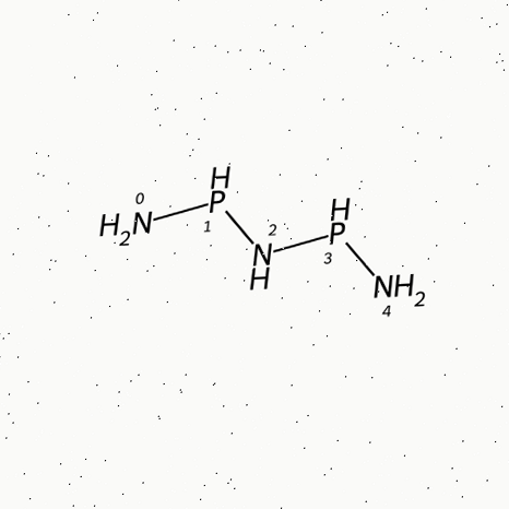 NPNPN